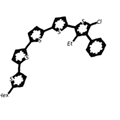 CCCCCCc1ccc(-c2ccc(-c3ccc(-c4ccc(-c5sc(Cl)c(-c6ccccc6)c5CC)s4)s3)s2)s1